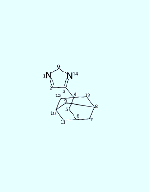 [C]1N=CC(C23CC4CC(CC(C4)C2)C3)=N1